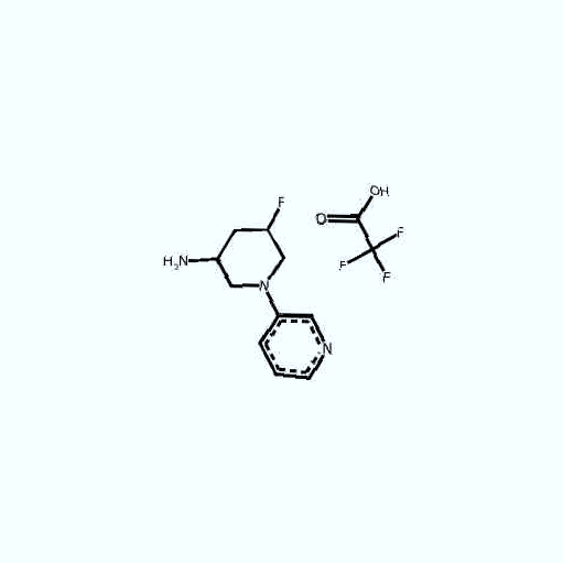 NC1CC(F)CN(c2cccnc2)C1.O=C(O)C(F)(F)F